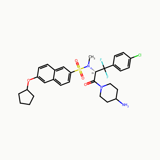 CN([C@@H](C(=O)N1CCC(N)CC1)C(F)(F)c1ccc(Cl)cc1)S(=O)(=O)c1ccc2cc(OC3CCCC3)ccc2c1